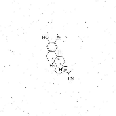 CCc1cc2c(cc1O)CC[C@@H]1[C@@H]2CC[C@]2(C)[C@@H](C(C)C#N)CC[C@@H]12